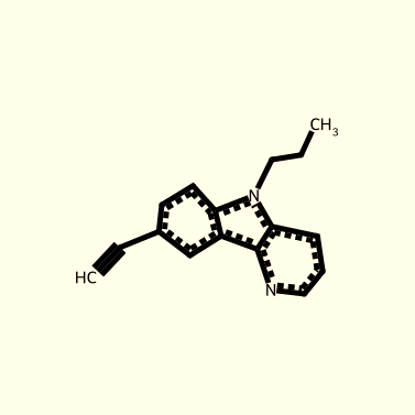 C#Cc1ccc2c(c1)c1ncccc1n2CCC